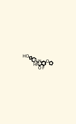 O=c1[nH]c(N2CCC3(CC2)CC(O)C3)nc2cc(OC3CCCC3)cc(F)c12